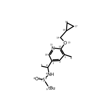 Cc1cc(C(C)N[S+]([O-])C(C)(C)C)cnc1OCC1CC1